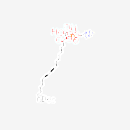 CCCCCCCCCCCCCCCC#CC#CCCCCCCCC(=O)C(OP(=O)([O-])OCC[N+](C)(C)C)[C@@H](O)CO